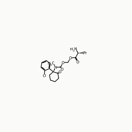 CC(C)[C@H](N)C(=O)OCOC(=O)N(C)[C@]1(c2ccccc2Cl)CCCCC1=O